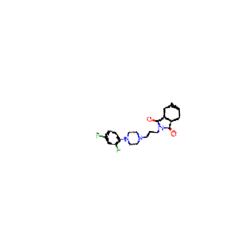 O=C1C2CC=CCC2C(=O)N1CCCN1CCN(c2ccc(F)cc2F)CC1